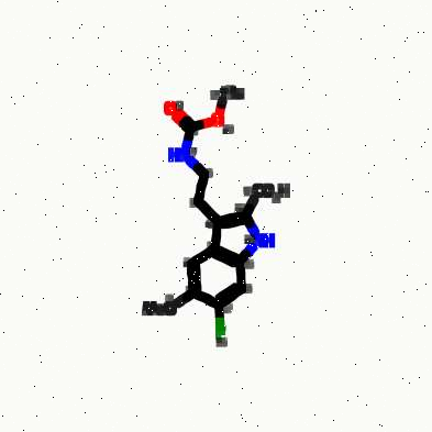 COc1cc2c(CCNC(=O)OC(C)(C)C)c(C(=O)O)[nH]c2cc1F